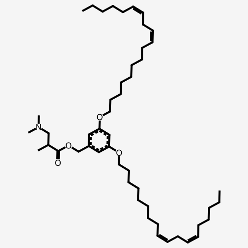 CCCCC/C=C\C/C=C\CCCCCCCCOc1cc(COC(=O)C(C)CN(C)C)cc(OCCCCCCCC/C=C\C/C=C\CCCCC)c1